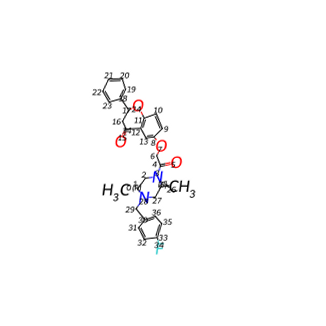 C[C@@H]1CN(C(=O)COc2ccc3c(c2)C(=O)CC(c2ccccc2)O3)[C@@H](C)CN1Cc1ccc(F)cc1